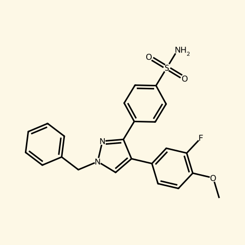 COc1ccc(-c2cn(Cc3ccccc3)nc2-c2ccc(S(N)(=O)=O)cc2)cc1F